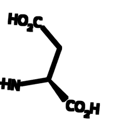 [NH][C@@H](CC(=O)O)C(=O)O